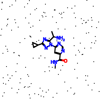 CNC(=O)c1cc(-n2nc(C3CC3)nc2C(C)N)ncn1